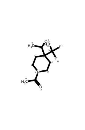 CC(=O)N1CCC(C(C)C)(C(F)(F)F)CC1